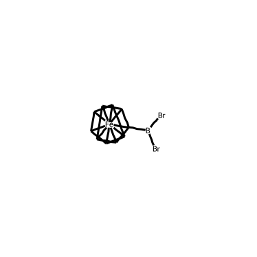 BrB(Br)[C]12[CH]3[CH]4[CH]5[CH]1[Fe]45321678[CH]2[CH]1[CH]6[CH]7[CH]28